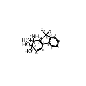 NC1(N)C=C(c2ccccc2C(F)(F)F)C=CC1(O)O